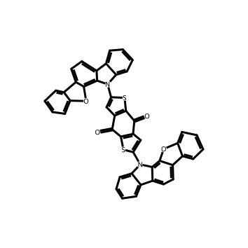 O=C1c2cc(-n3c4ccccc4c4ccc5c6ccccc6oc5c43)sc2C(=O)c2cc(-n3c4ccccc4c4ccc5c6ccccc6oc5c43)sc21